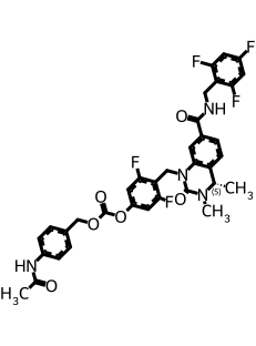 CC(=O)Nc1ccc(COC(=O)Oc2cc(F)c(CN3C(=O)N(C)[C@@H](C)c4ccc(C(=O)NCc5c(F)cc(F)cc5F)cc43)c(F)c2)cc1